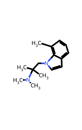 Cc1cccc2ccn(CC(C)(C)N(C)C)c12